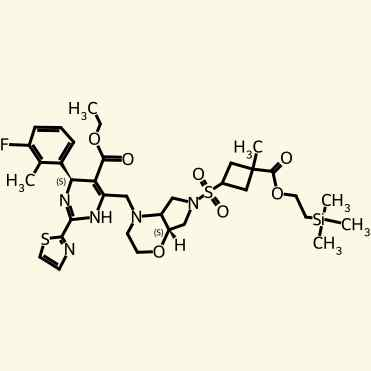 CCOC(=O)C1=C(CN2CCO[C@H]3CN(S(=O)(=O)C4CC(C)(C(=O)OCC[Si](C)(C)C)C4)CC32)NC(c2nccs2)=N[C@H]1c1cccc(F)c1C